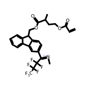 C=CC(=O)OCCC(C)C(=O)OCC1c2ccccc2-c2cc(/C(=N/C)C(F)(F)C(F)(F)C(F)(F)F)ccc21